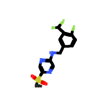 CNS(=O)(=O)c1cnc(NCc2ccc(F)c(C(F)F)c2)cn1